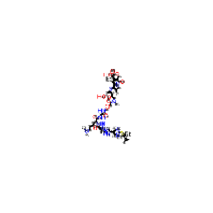 C=C(CC(CN(CC)C(=O)COCNC(=O)CNC(=O)[C@H](CCCCN(C)C)NC(=O)[C@@H](Nn1cc(-c2cnc(SC(CC)(CC)C3CC3)nc2)nn1)C(C)C)OCO)/N=C1\C(=C)Cn2c1cc1c(c2=O)COC(=O)[C@]1(O)CC